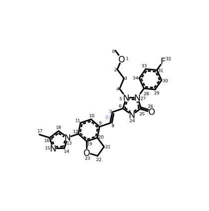 COCCCn1c(/C=C/c2ccc(-n3cnc(C)c3)c3c2CCO3)nc(=O)n1-c1ccc(F)cc1